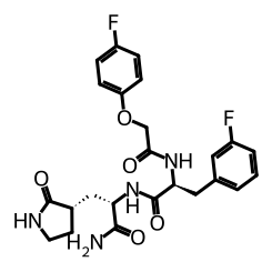 NC(=O)[C@H](C[C@@H]1CCNC1=O)NC(=O)[C@H](Cc1cccc(F)c1)NC(=O)COc1ccc(F)cc1